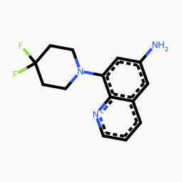 Nc1cc(N2CCC(F)(F)CC2)c2ncccc2c1